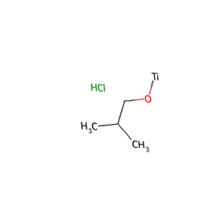 CC(C)C[O][Ti].Cl